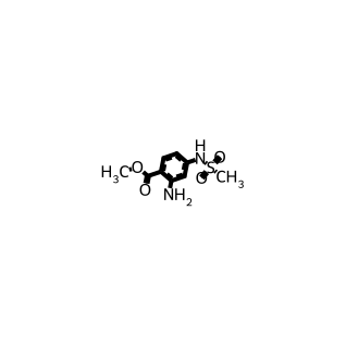 COC(=O)c1ccc(NS(C)(=O)=O)cc1N